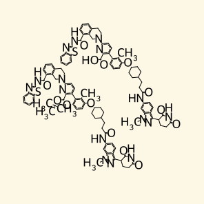 Cc1c(OC2CCC(CCC(=O)Nc3ccc4c(C5CCC(=O)NC5=O)nn(C)c4c3)CC2)cccc1-c1ccc(N2CCc3cccc(C(=O)Nc4nc5ccccc5s4)c3C2)nc1C(=O)O.Cc1c(OC2CCC(CCC(=O)Nc3ccc4c(C5CCC(=O)NC5=O)nn(C)c4c3)CC2)cccc1-c1ccc(N2CCc3cccc(C(=O)Nc4nc5ccccc5s4)c3C2)nc1C(=O)OC(C)(C)C